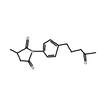 CC(=O)CCCc1ccc(N2C(=O)CC(C)C2=O)cc1